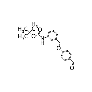 CC(C)(C)OC(=O)Nc1cccc(COc2ccc(C=O)cc2)c1